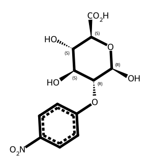 O=C(O)[C@H]1O[C@@H](O)[C@H](Oc2ccc([N+](=O)[O-])cc2)[C@@H](O)[C@@H]1O